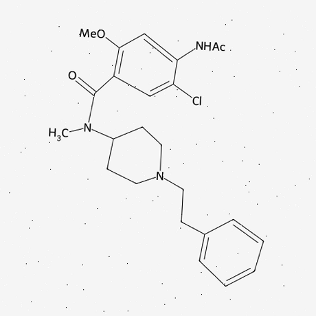 COc1cc(NC(C)=O)c(Cl)cc1C(=O)N(C)C1CCN(CCc2ccccc2)CC1